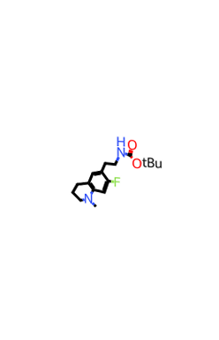 CN1CCCc2cc(CCNC(=O)OC(C)(C)C)c(F)cc21